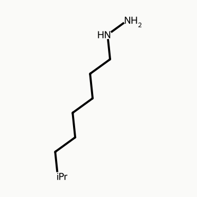 CC(C)CCCCCCNN